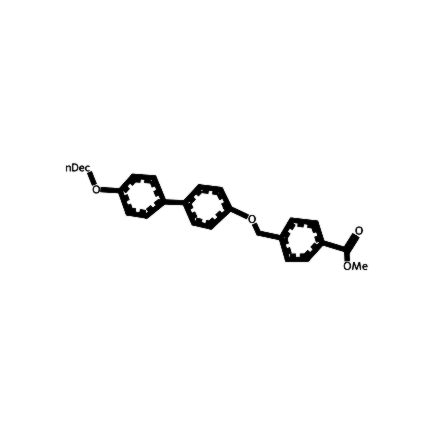 CCCCCCCCCCOc1ccc(-c2ccc(OCc3ccc(C(=O)OC)cc3)cc2)cc1